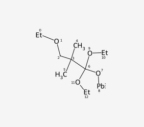 CCOCC(C)(C)C([O][Pb])(OCC)OCC